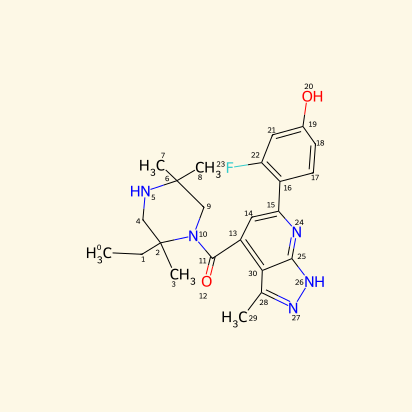 CCC1(C)CNC(C)(C)CN1C(=O)c1cc(-c2ccc(O)cc2F)nc2[nH]nc(C)c12